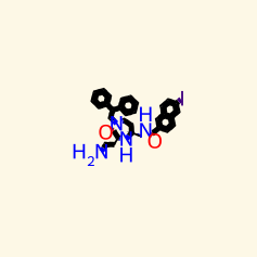 NCC[C@@H]1N[C@H](CNC(=O)c2ccc3cc(I)ccc3c2)CCN(CC(c2ccccc2)c2ccccc2)C1=O